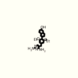 CCOc1cc(Cc2cnc(N)nc2N)cc(OCC)c1-c1ccc2cc(O)ccc2c1